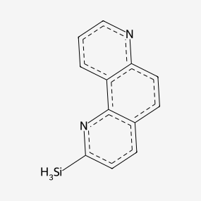 [SiH3]c1ccc2ccc3ncccc3c2n1